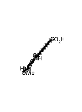 COCCNC(=O)COCCOCCNC(=O)CCCCCCCCCCCCCCC(=O)O